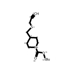 C#CCSCC1CCN(C(=O)OC(C)(C)C)CC1